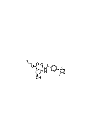 C=CCOC(=O)N1C[C@H](O)C[C@H]1C(=O)NC(C)c1ccc(-c2scnc2C)cc1